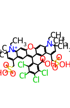 CCN1c2cc3c(cc2C(CS(=O)(=O)O)=CC1(C)C)C(c1c(Cl)c(Cl)c(Cl)c(Cl)c1C(=O)O)=c1cc2c(cc1O3)=[N+](CC)C(C)(C)C=C2CS(=O)(=O)O